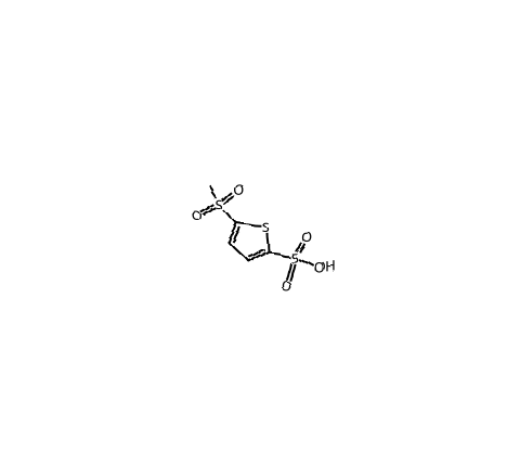 CS(=O)(=O)c1ccc(S(=O)(=O)O)s1